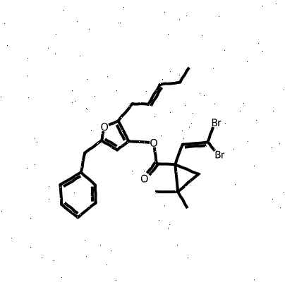 CCC=CCc1oc(Cc2ccccc2)cc1OC(=O)C1(C=C(Br)Br)CC1(C)C